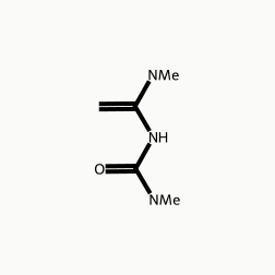 C=C(NC)NC(=O)NC